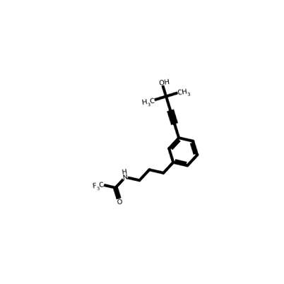 CC(C)(O)C#Cc1cccc(CCCNC(=O)C(F)(F)F)c1